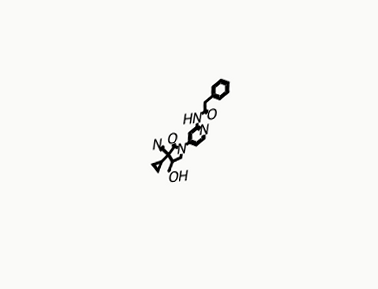 N#CC1(C2CC2)C(=O)N(c2ccnc(NC(=O)Cc3ccccc3)c2)CC1CO